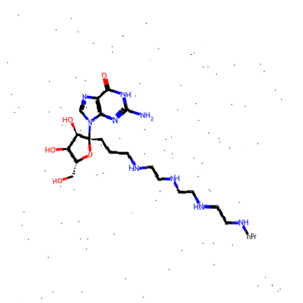 CCCNCCNCCNCCNCCC[C@@]1(n2cnc3c(=O)[nH]c(N)nc32)O[C@H](CO)[C@@H](O)[C@H]1O